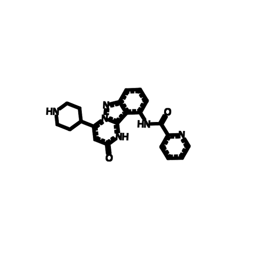 O=C(Nc1cccc2nn3c(C4CCNCC4)cc(=O)[nH]c3c12)c1ccccn1